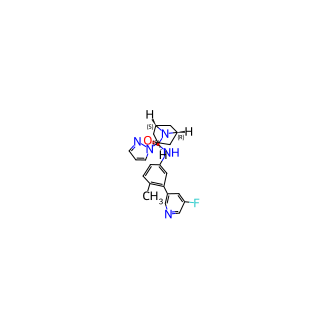 Cc1ccc(NC(=O)N2[C@@H]3C[C@H]2C[C@H](n2cccn2)C3)cc1-c1cncc(F)c1